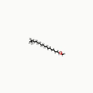 CCOCCCCCCCCCCCCCCCCC(C)(C)C